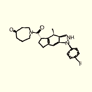 C[C@H]1C2=CNN(c3ccc(F)cc3)C2=CC2=C1[C@@H](C(=O)N1CCCC(=O)CC1)CC2